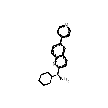 NC(c1ccc2cc(-c3ccncc3)ccc2n1)C1CCCCC1